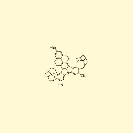 CC(C)(C)c1cc2c3c(c1)CCc1c-3c(c3c4c5c(c(C#N)cc4n4c6cc(C#N)c7c(c6c1c34)C1CC3CC4CC7CC43C1)C1CC3CC4CC5CC34C1)CC2